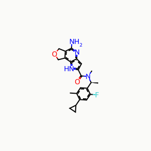 Cc1cc([C@H](C)N(C)C(=O)c2cc3nc(N)c4c(c3[nH]2)COC4)c(F)cc1C1CC1